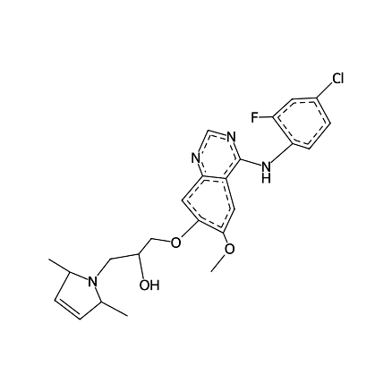 COc1cc2c(Nc3ccc(Cl)cc3F)ncnc2cc1OCC(O)CN1C(C)C=CC1C